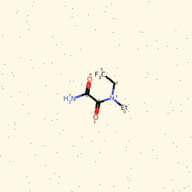 CCN(CC(F)(F)F)C(=O)C(N)=O